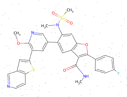 CNC(=O)c1c(-c2ccc(F)cc2)oc2cc(N(C)S(C)(=O)=O)c(-c3cnc(OC)c(-c4cc5cnccc5s4)c3)cc12